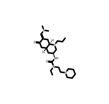 CCCN1C[C@@H](NC(=O)N(CC)CCN2CCCCC2)C[C@@H]2CC(=O)C(=CN(C)C)C[C@H]21